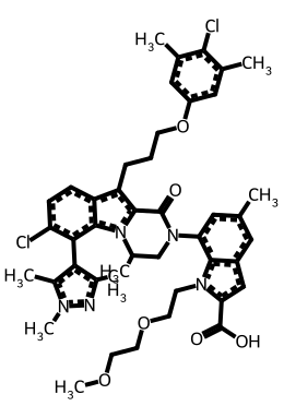 COCCOCCn1c(C(=O)O)cc2cc(C)cc(N3CC(C)n4c(c(CCCOc5cc(C)c(Cl)c(C)c5)c5ccc(Cl)c(-c6c(C)nn(C)c6C)c54)C3=O)c21